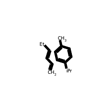 C=CC=CCC.Cc1ccc(C(C)C)cc1